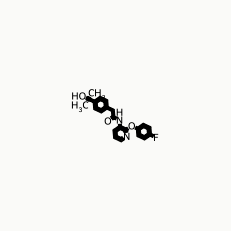 CC(C)(O)c1ccc(CC(=O)Nc2cccnc2Oc2ccc(F)cc2)cc1